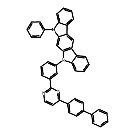 c1ccc(-c2ccc(-c3ccnc(-c4cccc(-n5c6ccccc6c6cc7c8ccccc8n(-c8ccccc8)c7cc65)c4)n3)cc2)cc1